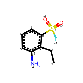 CCc1c(N)cccc1S(=O)(=O)F